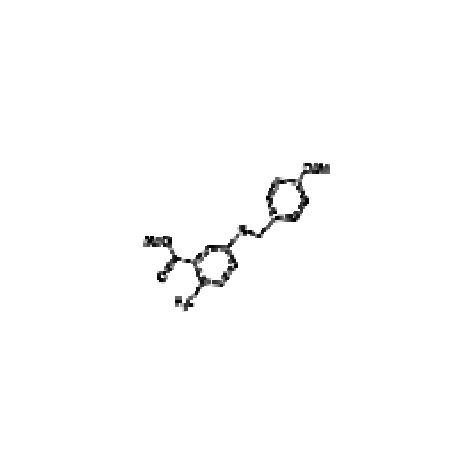 COC(=O)c1cc(SCc2ccc(OC)cc2)ccc1C(F)(F)F